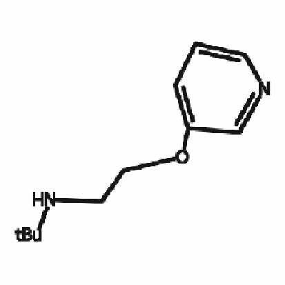 CC(C)(C)NCCOc1cccnc1